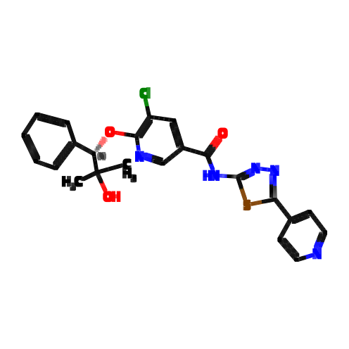 CC(C)(O)[C@@H](Oc1ncc(C(=O)Nc2nnc(-c3ccncc3)s2)cc1Cl)c1ccccc1